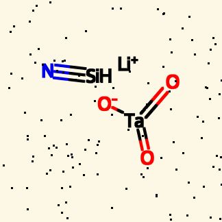 N#[SiH].[Li+].[O]=[Ta](=[O])[O-]